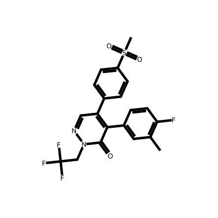 Cc1cc(-c2c(-c3ccc(S(C)(=O)=O)cc3)cnn(CC(F)(F)F)c2=O)ccc1F